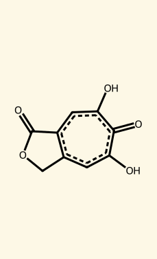 O=C1OCc2cc(O)c(=O)c(O)cc21